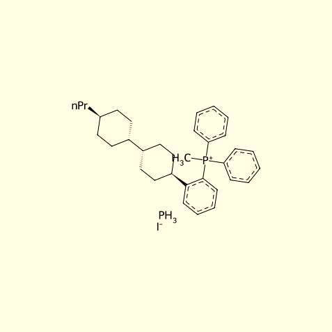 CCC[C@H]1CC[C@H]([C@H]2CC[C@H](c3ccccc3[P+](C)(c3ccccc3)c3ccccc3)CC2)CC1.P.[I-]